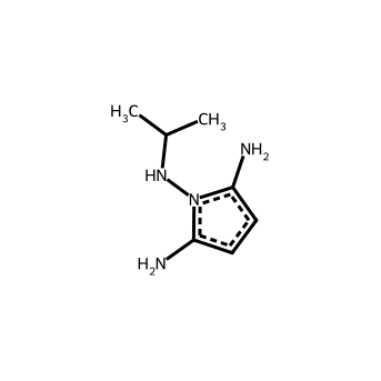 CC(C)Nn1c(N)ccc1N